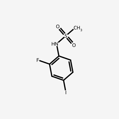 CS(=O)(=O)Nc1ccc(I)cc1F